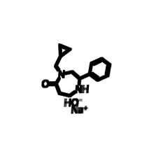 O=C1CCNC(c2ccccc2)CN1CC1CC1.[Na+].[OH-]